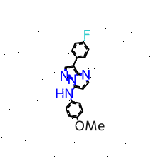 COc1ccc(Nc2ccnc3c(-c4ccc(F)cc4)cnn23)cc1